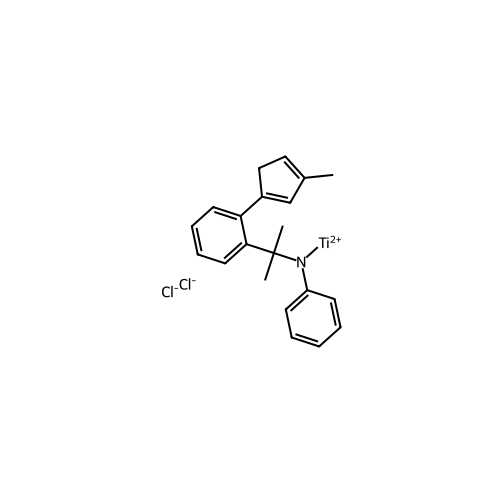 CC1=CCC(c2ccccc2C(C)(C)[N]([Ti+2])c2ccccc2)=C1.[Cl-].[Cl-]